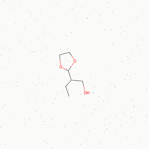 CCC(CO)C1OCCO1